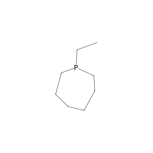 CCP1CCCCCC1